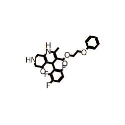 CC1=C(C(=O)OCCOc2ccccc2)C(c2c(F)ccc(F)c2F)C2=C(CNCC2=O)N1